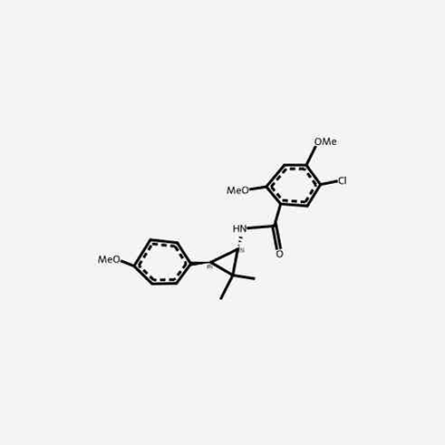 COc1ccc([C@H]2[C@H](NC(=O)c3cc(Cl)c(OC)cc3OC)C2(C)C)cc1